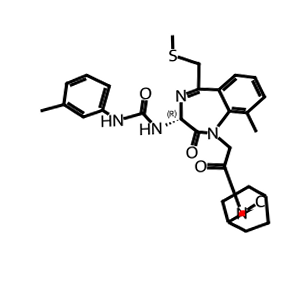 CSCC1=N[C@@H](NC(=O)Nc2cccc(C)c2)C(=O)N(CC(=O)N2CC3CCC(CC3)C2)c2c(C)cccc21